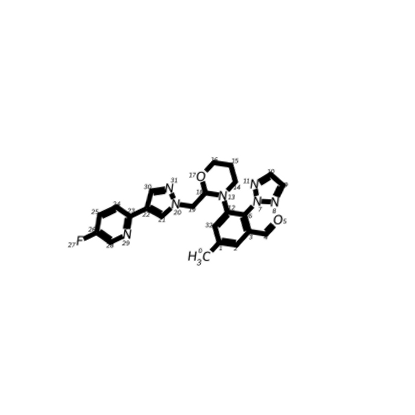 Cc1cc(C=O)c(-n2nccn2)c(N2CCCOC2Cn2cc(-c3ccc(F)cn3)cn2)c1